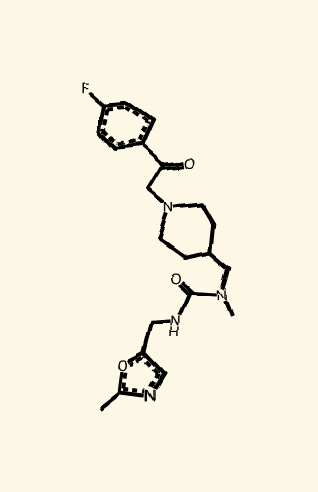 Cc1ncc(CNC(=O)N(C)CC2CCN(CC(=O)c3ccc(F)cc3)CC2)o1